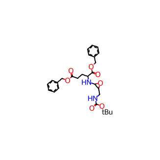 CC(C)(C)OC(=O)NCC1OC1NC(CCC(=O)OCc1ccccc1)C(=O)OCc1ccccc1